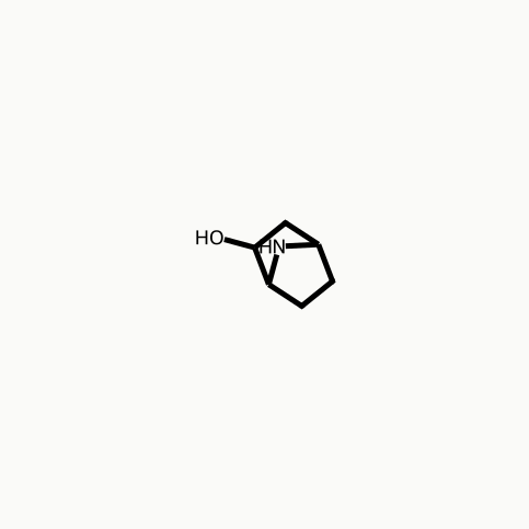 OC1CC2CCC1N2